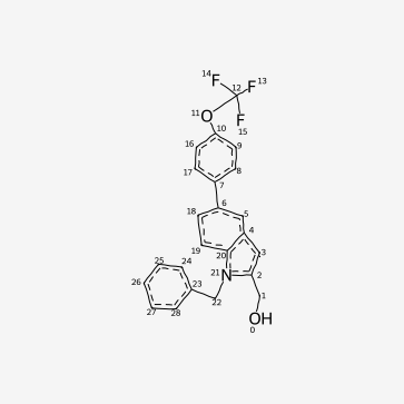 OCc1[c]c2cc(-c3ccc(OC(F)(F)F)cc3)ccc2n1Cc1ccccc1